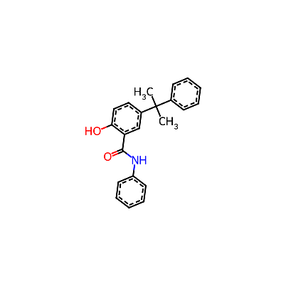 CC(C)(c1ccccc1)c1ccc(O)c(C(=O)Nc2ccccc2)c1